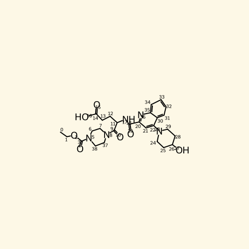 CCOC(=O)N1CCN(C(=O)C(CCC(=O)O)NC(=O)c2cc(N3CCC(O)CC3)c3ccccc3n2)CC1